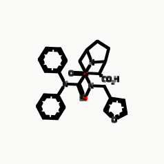 CCN(Cc1ccoc1)C(=O)N1C2CCC1[C@@H](C(=O)O)N(C(=O)N(c1ccccc1)c1ccccc1)C2